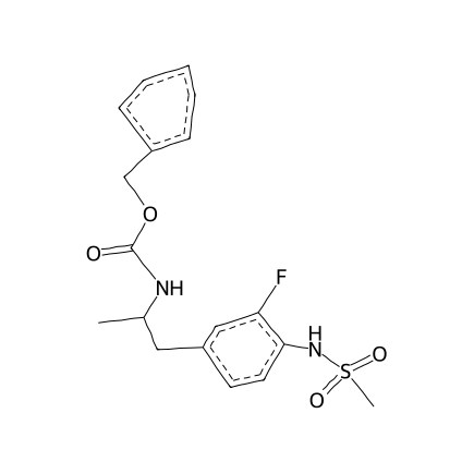 CC(Cc1ccc(NS(C)(=O)=O)c(F)c1)NC(=O)OCc1ccccc1